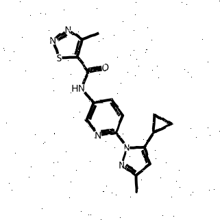 Cc1cc(C2CC2)n(-c2ccc(NC(=O)c3snnc3C)cn2)n1